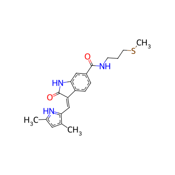 CSCCCNC(=O)c1ccc2c(c1)NC(=O)C2=Cc1[nH]c(C)cc1C